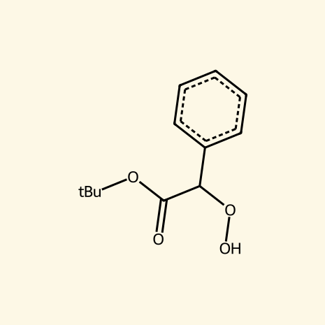 CC(C)(C)OC(=O)C(OO)c1ccccc1